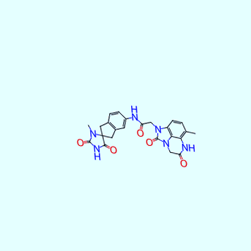 Cc1ccc2c3c1NC(=O)Cn3c(=O)n2CC(=O)Nc1ccc2c(c1)CC1(C2)C(=O)NC(=O)N1C